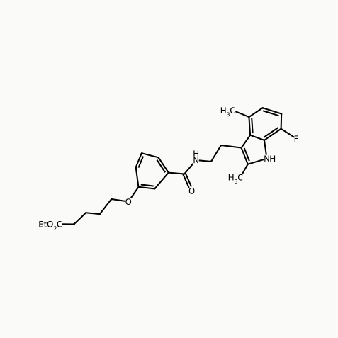 CCOC(=O)CCCCOc1cccc(C(=O)NCCc2c(C)[nH]c3c(F)ccc(C)c23)c1